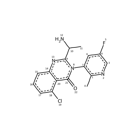 Cc1ncc(F)cc1-n1c(C(C)N)nc2cccc(Cl)c2c1=O